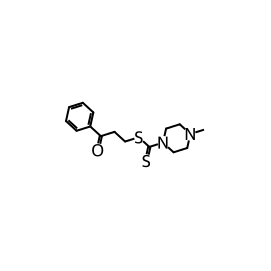 CN1CCN(C(=S)SCCC(=O)c2ccccc2)CC1